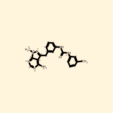 Cc1cccc(NC(=O)Nc2cccc(Cc3nn(C)c4ncnc(N)c34)c2)c1